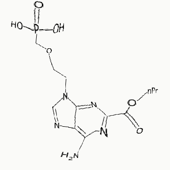 CCCOC(=O)c1nc(N)c2ncn(CCOCP(=O)(O)O)c2n1